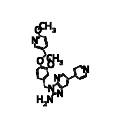 COc1ccc(COc2ccc(Cn3c(N)nc4cc(-c5ccncc5)cnc43)cc2OC)cn1